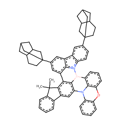 CC1(C)c2ccccc2-c2cc3c4c(c21)-c1cc(C25CCC6CC(CC6C2)C5)cc2c5cc(C67CCC8CC(CC8C6)C7)ccc5n(c12)B4c1cccc2c1N3c1ccccc1O2